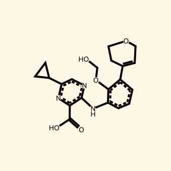 O=C(O)c1nc(C2CC2)cnc1Nc1cccc(C2=CCOCC2)c1OCO